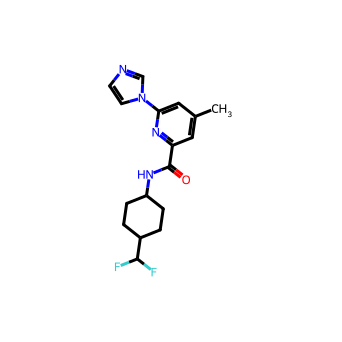 Cc1cc(C(=O)NC2CCC(C(F)F)CC2)nc(-n2ccnc2)c1